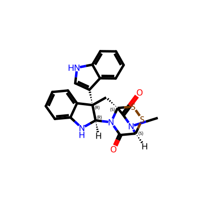 CN1C(=O)[C@@]23C[C@]4(c5c[nH]c6ccccc56)c5ccccc5N[C@@H]4N2C(=O)[C@@H]1SS3